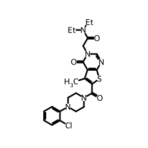 CCN(CC)C(=O)Cn1cnc2sc(C(=O)N3CCN(c4ccccc4Cl)CC3)c(C)c2c1=O